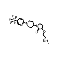 NCCOC1CCN(C2CCN(c3ccc(S(F)(F)(F)(F)F)cn3)CC2)C1=O